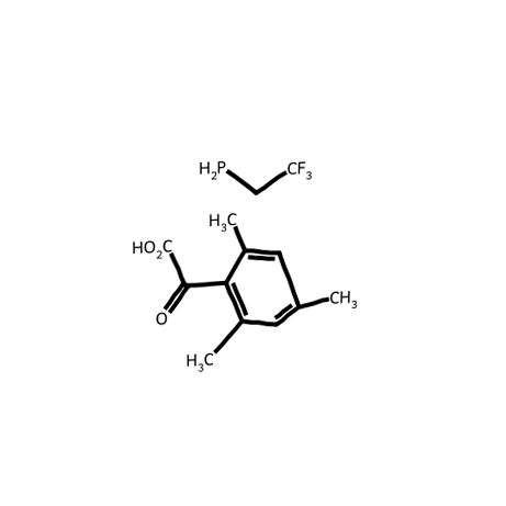 Cc1cc(C)c(C(=O)C(=O)O)c(C)c1.FC(F)(F)CP